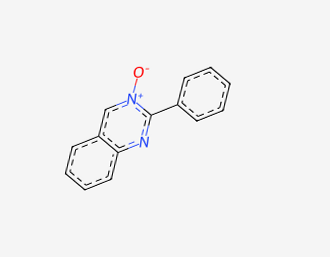 [O-][n+]1cc2ccccc2nc1-c1ccccc1